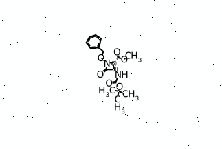 COC(=O)[C@@H]1[C@@H](NC(=O)OC(C)(C)C)C(=O)N1OCc1ccccc1